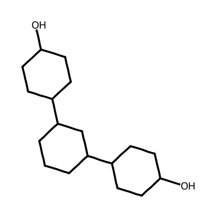 OC1CCC(C2CCCC(C3CCC(O)CC3)C2)CC1